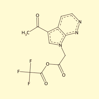 CC(=O)c1cn(CC(=O)OC(=O)C(F)(F)F)c2nnccc12